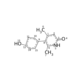 Cc1cc(=O)[nH]c(C)c1-c1ccc(O)cc1